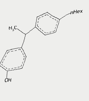 CCCCCCc1ccc(C(C)c2ccc(O)cc2)cc1